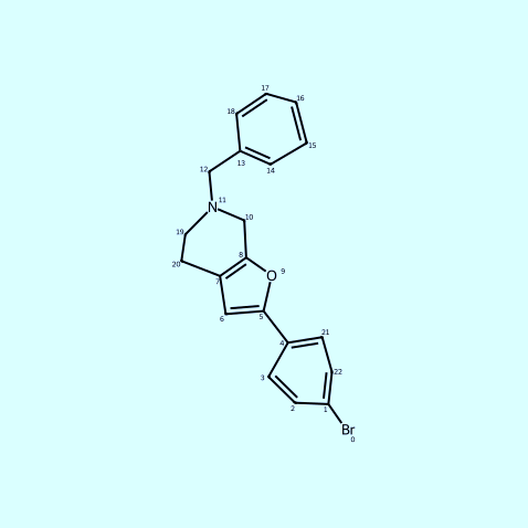 Brc1ccc(-c2cc3c(o2)CN(Cc2ccccc2)CC3)cc1